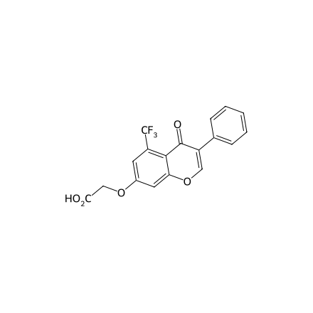 O=C(O)COc1cc(C(F)(F)F)c2c(=O)c(-c3ccccc3)coc2c1